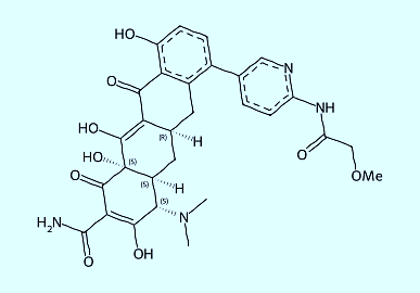 COCC(=O)Nc1ccc(-c2ccc(O)c3c2C[C@H]2C[C@H]4[C@H](N(C)C)C(O)=C(C(N)=O)C(=O)[C@@]4(O)C(O)=C2C3=O)cn1